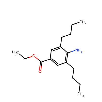 CCCCc1cc(C(=O)OCC)cc(CCCC)c1N